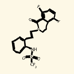 O=C1c2c(F)ccc(F)c2CCN1CCc1ccccc1NS(=O)(=O)C(F)(F)F